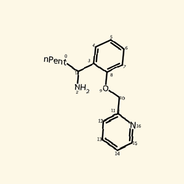 CCCCCC(N)c1ccccc1OCc1ccccn1